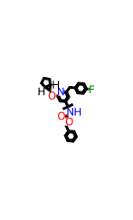 CC(C)(NC(=O)OCc1ccccc1)c1cc(Cc2ccc(F)cc2)nc(O[C@H]2[C@@H]3CCC[C@@H]32)c1